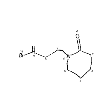 O=C1CCCCN1CCNBr